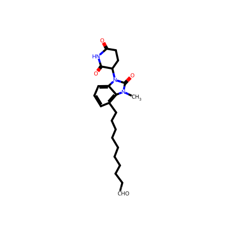 Cn1c(=O)n(C2CCC(=O)NC2=O)c2cccc(CCCCCCCCCC=O)c21